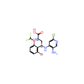 Nc1cnc(Cl)cc1N[C@H](C[C@@H](N)C(=O)O)c1c(Br)cccc1OC(F)F